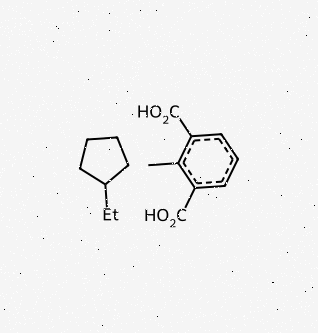 CCC1CCCC1.Cc1c(C(=O)O)cccc1C(=O)O